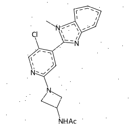 CC(=O)NC1CN(c2cc(-c3nc4ccccc4n3C)c(Cl)cn2)C1